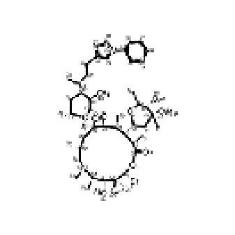 CC[C@H]1OC(=O)[C@H](C)[C@@H](C2C[C@@](C)(OC)[C@@H](O)[C@H](C)O2)[C@H](C)[C@@H](O[C@@H]2O[C@H](C)C[C@H](N(C)CCc3cn(-c4cccnc4)nn3)[C@H]2O)[C@](C)(O)C[C@@H](C)CN(C)[C@H](C)[C@@H](O)[C@]1(C)O